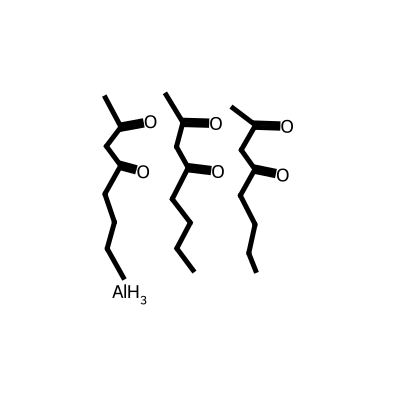 CCCCC(=O)CC(C)=O.CCCCC(=O)CC(C)=O.CCCCC(=O)CC(C)=O.[AlH3]